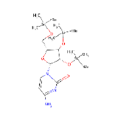 CC(C)(C)[Si](C)(C)OC[C@H]1O[C@@H](n2ccc(N)nc2=O)[C@@H](O[Si](C)(C)C(C)(C)C)[C@H]1O[Si](C)(C)C(C)(C)C